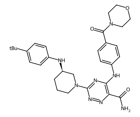 CC(C)(C)c1ccc(N[C@@H]2CCCN(c3nnc(C(N)=O)c(Nc4ccc(C(=O)N5CCOCC5)cc4)n3)C2)cc1